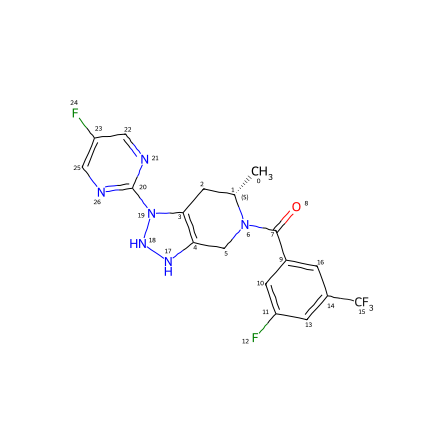 C[C@H]1CC2=C(CN1C(=O)c1cc(F)cc(C(F)(F)F)c1)NNN2c1ncc(F)cn1